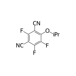 CC(C)Oc1c(F)c(F)c(C#N)c(F)c1C#N